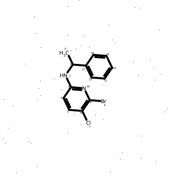 CC(Nc1ccc(Cl)c(Br)n1)c1ccccc1